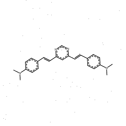 CN(C)c1ccc(/C=C/c2cc(/C=C/c3ccc(N(C)C)cc3)ncn2)cc1